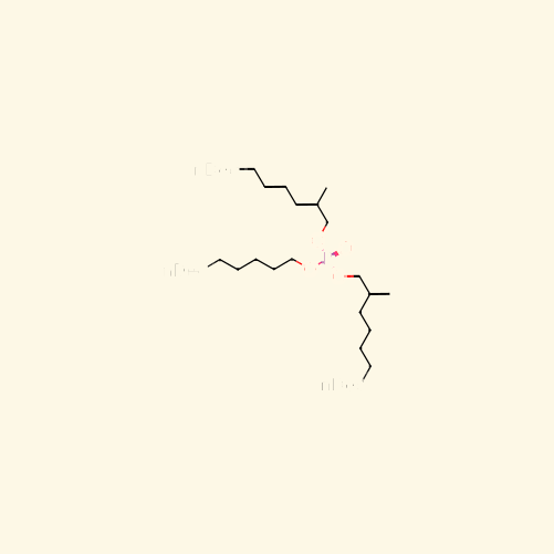 CCCCCCCCCCCCCCCOP(=O)(OCC(C)CCCCCCCCCCCCCC)OCC(C)CCCCCCCCCCCCCC